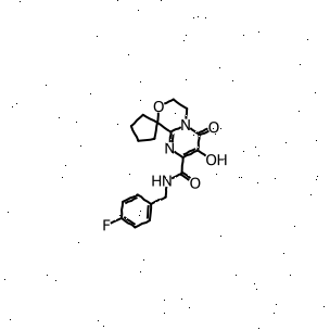 O=C(NCc1ccc(F)cc1)c1nc2n(c(=O)c1O)CCOC21CCCC1